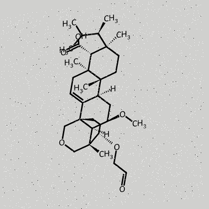 CO[C@@H]1C[C@]23COC[C@](C)([C@@H]2CC[C@H]2C3=CC[C@@]3(C)[C@H](C(=O)O)[C@@](C)([C@H](C)C(C)C)CC[C@]23C)[C@H]1OCC=O